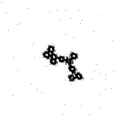 c1ccc(-c2nc(-c3ccc(-c4cc5c6ccccc6c6ccccc6c5c5ccccc45)cc3)nc(-c3ccc(-n4c5ccccc5c5ccccc54)cc3)n2)cc1